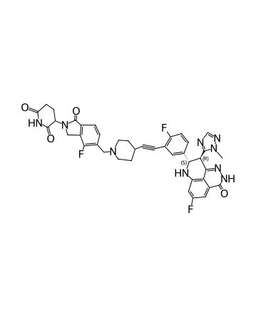 Cn1ncnc1[C@H]1c2n[nH]c(=O)c3cc(F)cc(c23)N[C@@H]1c1ccc(F)c(C#CC2CCN(Cc3ccc4c(c3F)CN(C3CCC(=O)NC3=O)C4=O)CC2)c1